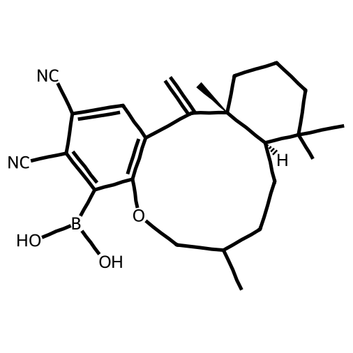 C=C1c2cc(C#N)c(C#N)c(B(O)O)c2OCC(C)CC[C@@H]2C(C)(C)CCC[C@@]12C